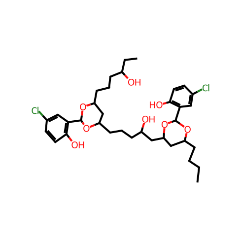 CCCCC1CC(CC(O)CCCC2CC(CCCC(O)CC)OC(c3cc(Cl)ccc3O)O2)OC(c2cc(Cl)ccc2O)O1